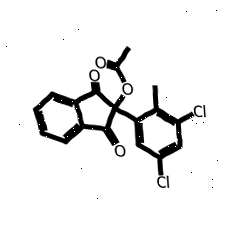 CC(=O)OC1(c2cc(Cl)cc(Cl)c2C)C(=O)c2ccccc2C1=O